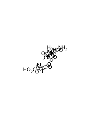 C=CCOC(=O)CC(NC(=O)C1(C(=O)NC(CCCNC(N)=O)C(=O)Nc2ccc(COC(=O)N3CCN(c4cc5c(cc4F)c(=O)c(C(=O)O)cn5CC)CC3)cc2)CCC1)c1ccsc1